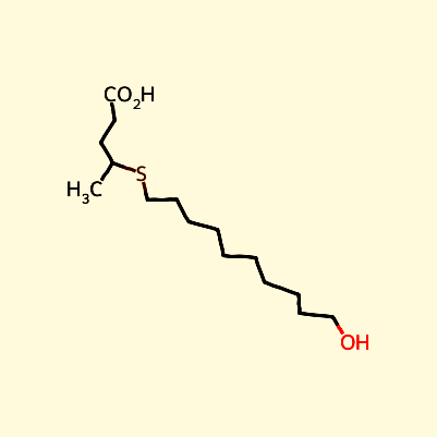 CC(CCC(=O)O)SCCCCCCCCCCO